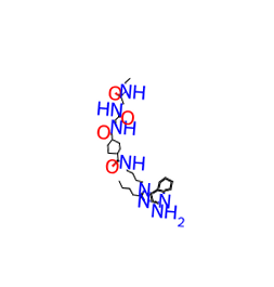 CCCCc1nc2c(N)nc3ccccc3c2n1CCCCNC(=O)C1CCC(C(=O)NCC(=O)NCC(=O)NCC)CC1